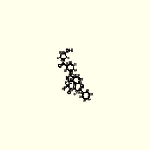 C[C@H](NC(=O)C(C)(F)F)[C@@H](Oc1ccc2c(cnn2-c2cccc(C(=O)N3CC[C@@H](O)C3)c2)c1)c1ccccc1